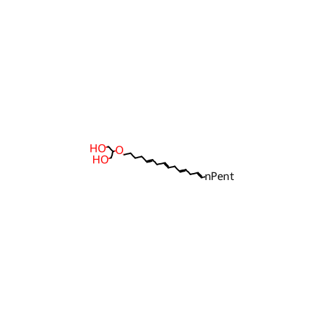 CCCCCC=CCC=CCC=CCC=CCCCCOC(CO)CO